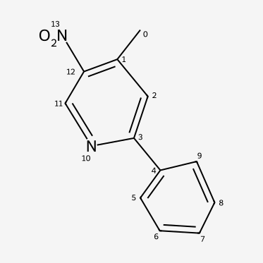 Cc1cc(-c2ccccc2)ncc1[N+](=O)[O-]